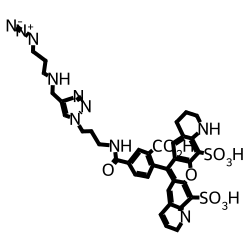 [N-]=[N+]=NCCCNCc1cn(CCCNC(=O)c2ccc(C3=c4cc5c(c(S(=O)(=O)O)c4Oc4c3cc3c(c4S(=O)(=O)O)NCCC3)=NCC=C5)c(C(=O)O)c2)nn1